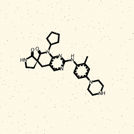 Cc1cc(N2CCNCC2)ccc1Nc1ncc2c(n1)N(C1CCCC1)C(=O)[C@]1(CCNC1=O)C2